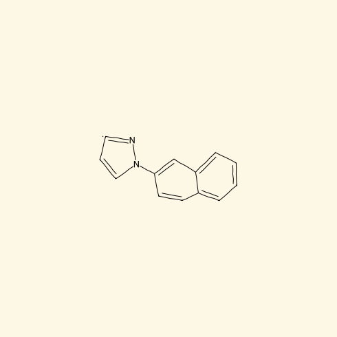 [c]1ccn(-c2ccc3ccccc3c2)n1